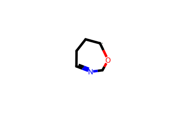 [CH]1CCC=NCO1